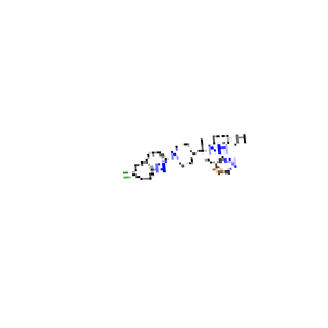 CC(Cc1cncs1)(NC(=O)O)C1CCN(c2ccc3cc(F)ccc3n2)CC1